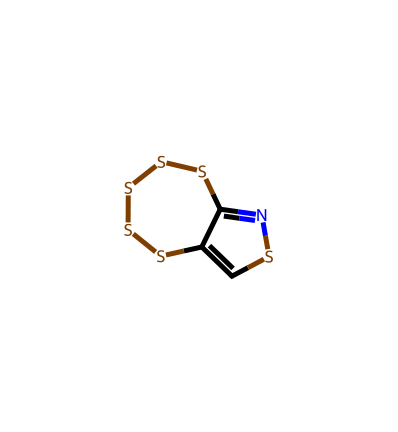 c1snc2c1SSSSS2